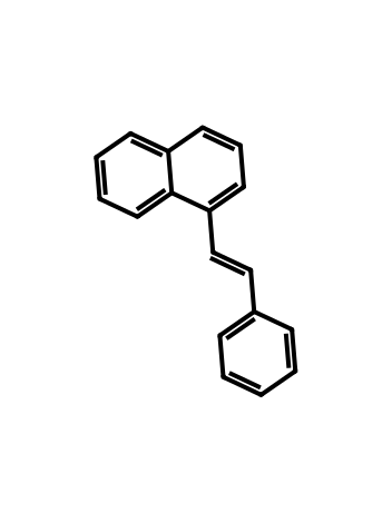 C(=Cc1cccc2ccccc12)c1ccccc1